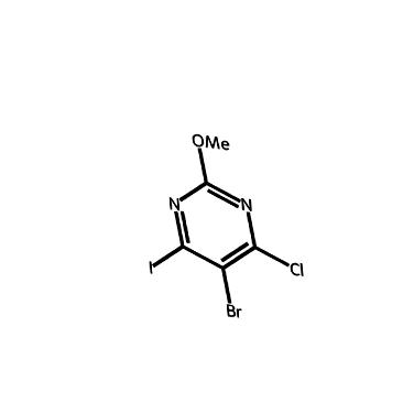 COc1nc(Cl)c(Br)c(I)n1